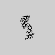 O=C(N[C@H]1CC[C@H](CN2C(=O)C(O)(c3cc(F)ccc3F)c3ccccc32)CC1)c1cc(Cl)cnc1Br